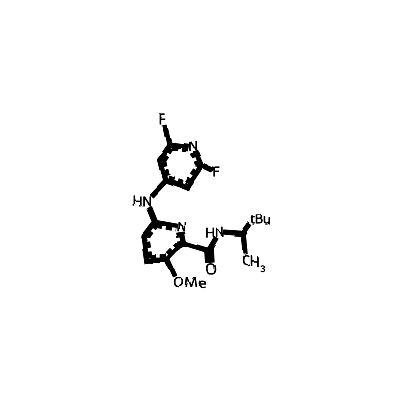 COc1ccc(Nc2cc(F)nc(F)c2)nc1C(=O)NC(C)C(C)(C)C